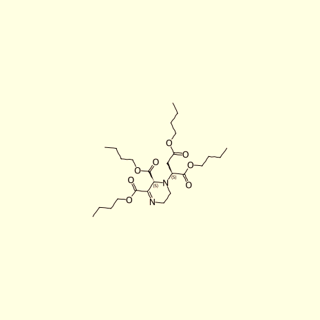 CCCCOC(=O)C[C@@H](C(=O)OCCCC)N1CCN=C(C(=O)OCCCC)[C@H]1C(=O)OCCCC